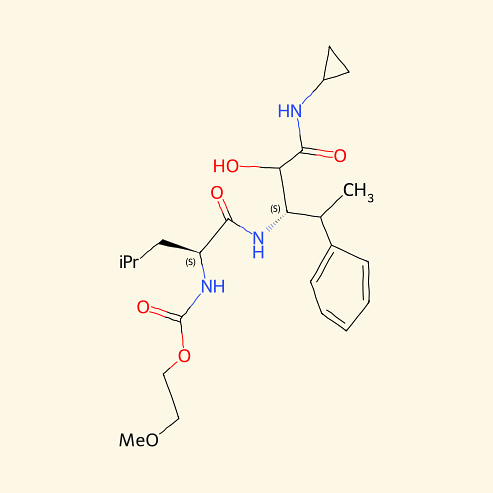 COCCOC(=O)N[C@@H](CC(C)C)C(=O)N[C@H](C(O)C(=O)NC1CC1)C(C)c1ccccc1